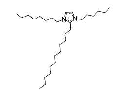 CCCCCCCCCCCCc1n(CCCCCC)cc[n+]1CCCCCCCC